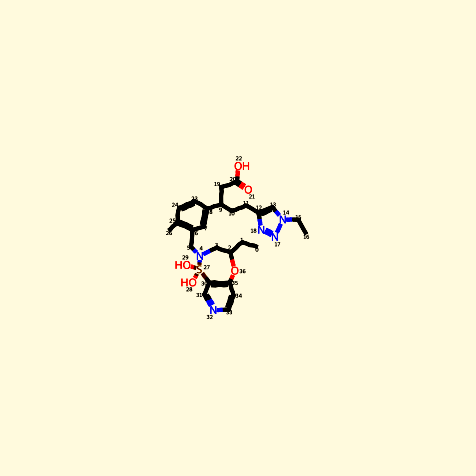 CCC1CN(Cc2cc(C(CCc3cn(CC)nn3)CC(=O)O)ccc2C)S(O)(O)c2cnccc2O1